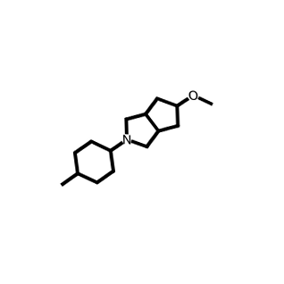 COC1CC2CN(C3CCC(C)CC3)CC2C1